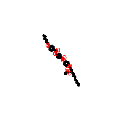 C=CC(=O)OC(CCCCCCCCCC)Oc1ccc(OC(=O)c2ccc(OC(=O)c3ccc(OCCCCCC)cc3)cc2)cc1